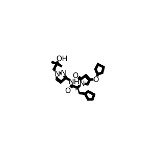 CC(C)(O)Cn1ccc(NC(=O)[C@H](CC2CCCC2)N2CC(OC3CCCC3)=CC2=O)n1